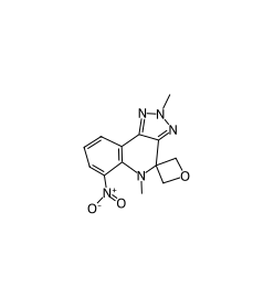 CN1c2c(cccc2[N+](=O)[O-])-c2nn(C)nc2C12COC2